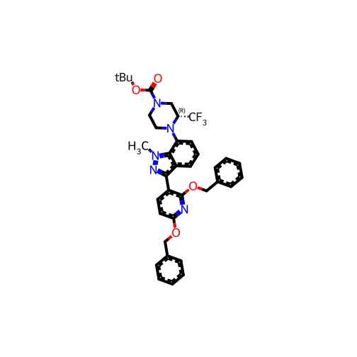 Cn1nc(-c2ccc(OCc3ccccc3)nc2OCc2ccccc2)c2cccc(N3CCN(C(=O)OC(C)(C)C)C[C@@H]3C(F)(F)F)c21